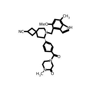 COc1cc(C)c2[nH]ccc2c1CN1CCC2(CC(C#N)C2)C[C@H]1c1ccc(C(=O)N2CCN(C)C(=O)C2)cc1